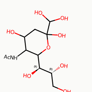 CC(=O)NC1C(O)CC(O)(C(O)O)OC1[C@H](O)[C@H](O)CO